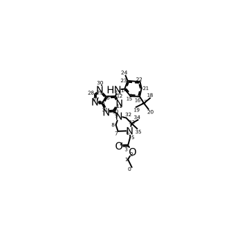 CCOC(=O)CN1CCN(c2nc(Nc3cc(C(C)(C)C)ccc3C)c3c(ncn3C)n2)CC1(C)C